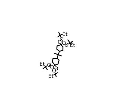 CCC(C)(C)OOC1(OOC(C)(C)CC)CCC(C(C)(C)C2CCC(OOC(C)(C)CC)(OOC(C)(C)CC)CC2)CC1